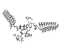 CCCCc1cc(CSCCC(F)(F)C(F)(F)C(F)(F)C(F)(F)C(F)(F)C(F)(F)C(F)(F)C(F)(F)F)cc(Cc2cc(CSCCC(F)(F)C(F)(F)C(F)(F)C(F)(F)C(F)(F)C(F)(F)C(F)(F)C(F)(F)F)cc(C(C)CC)c2O)c1O